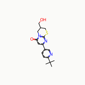 CC(C)(C)c1ccc(-c2cc(=O)n3c(n2)SCC(CO)C3)cn1